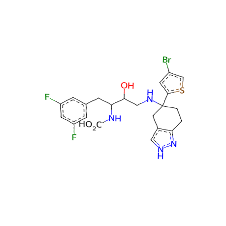 O=C(O)NC(Cc1cc(F)cc(F)c1)C(O)CNC1(c2cc(Br)cs2)CCc2n[nH]cc2C1